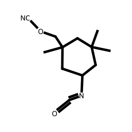 CC1(C)CC(N=C=O)CC(C)(COC#N)C1